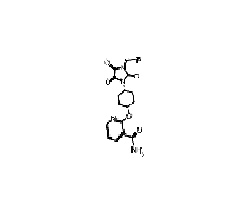 CC(C)CN1C(=O)C(=O)N([C@H]2CC[C@H](Oc3ncccc3C(N)=O)CC2)C1=O